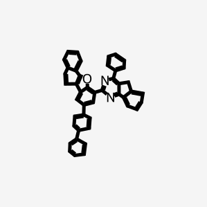 c1ccc(-c2ccc(-c3cc(-c4nc(-c5ccccc5)c5c(n4)-c4ccccc4C5)c4oc5c6ccccc6ccc5c4c3)cc2)cc1